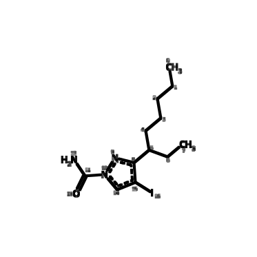 CCCCCC(CC)c1nn(C(N)=O)cc1I